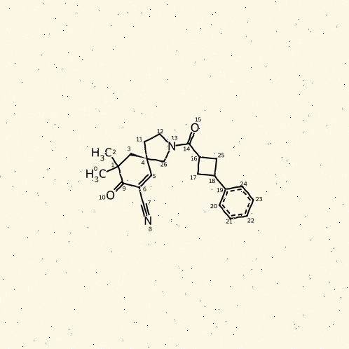 CC1(C)C[C@@]2(C=C(C#N)C1=O)CCN(C(=O)C1CC(c3ccccc3)C1)C2